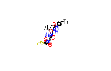 CC(C)Cc1ccc(NC(=O)C(C)N(I)C(=O)CNC(=O)CCN2C(=O)CC(S)C2=O)cc1